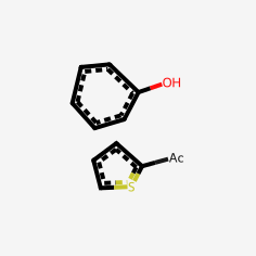 CC(=O)c1cccs1.Oc1ccccc1